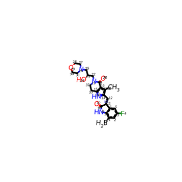 Bc1cc(F)cc2c1NC(=O)/C2=C\c1[nH]c2c(c1C)C(=O)N(C[C@H](O)CN1CCOCC1)CC2